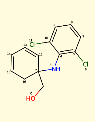 OCC1(Nc2c(Cl)cccc2Cl)C=CC=CC1